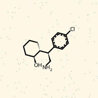 NC[C@H](c1ccc(Cl)cc1)[C@H]1CCCC[C@@H]1O